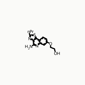 CCCc1nc2c(N)nc3cc(OCCO)ccc3c2s1